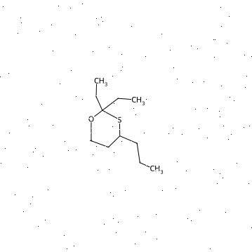 CCCC1CCOC(CC)(CC)S1